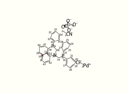 CC#N.[Cl][Pd+].[O-][Cl+3]([O-])([O-])[O-].c1ccc(N(CP(c2ccccc2)c2ccccc2)CP(c2ccccc2)c2ccccc2)cc1